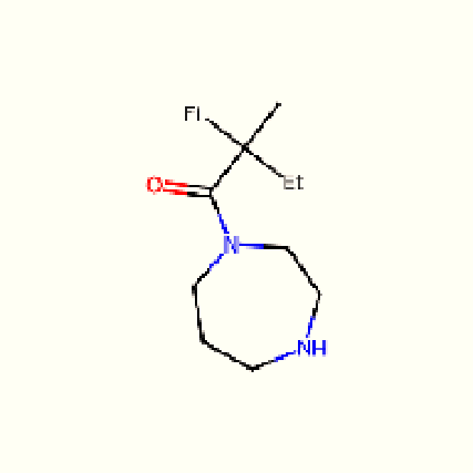 CCC(C)(CC)C(=O)N1CCCNCC1